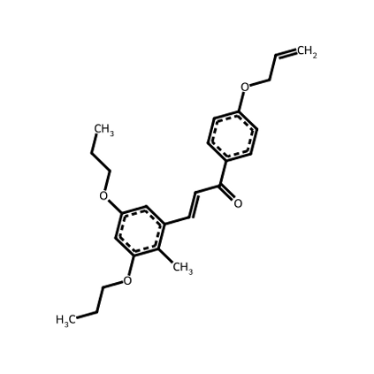 C=CCOc1ccc(C(=O)C=Cc2cc(OCCC)cc(OCCC)c2C)cc1